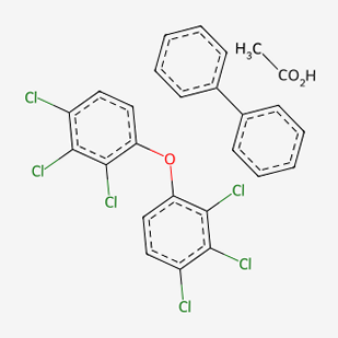 CC(=O)O.Clc1ccc(Oc2ccc(Cl)c(Cl)c2Cl)c(Cl)c1Cl.c1ccc(-c2ccccc2)cc1